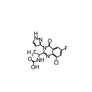 CC(NC(=O)O)c1nc2c(Cl)cc(F)cc2c(=O)n1-c1cc[nH]n1